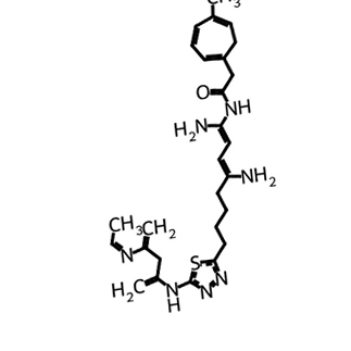 C=C(CC(=C)Nc1nnc(CCCC/C(N)=C/C=C(\N)NC(=O)CC2=CC=CC(C)=CC2)s1)/N=C\C